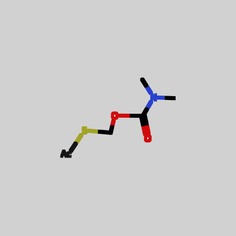 CC(=O)SCOC(=O)N(C)C